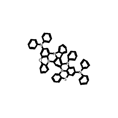 c1ccc(N(c2ccccc2)c2cc3c4c(c2)N(c2ccccc2)c2c(cc5c6c2c2ccccc2n6-c2cc(N(c6ccccc6)c6ccccc6)cc6c2B5c2ccccc2O6)B4c2ccccc2S3)cc1